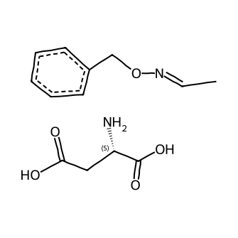 CC=NOCc1ccccc1.N[C@@H](CC(=O)O)C(=O)O